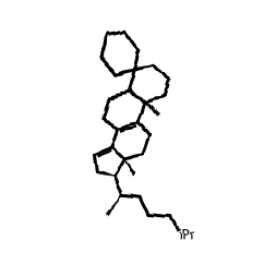 CC(C)CCC[C@@H](C)[C@H]1CC=C2C3=C(CC[C@@]21C)[C@@]1(C)CCCC2(CCCCC2)C1CC3